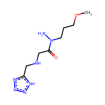 COCCCN(N)C(=O)CNCc1nnn[nH]1